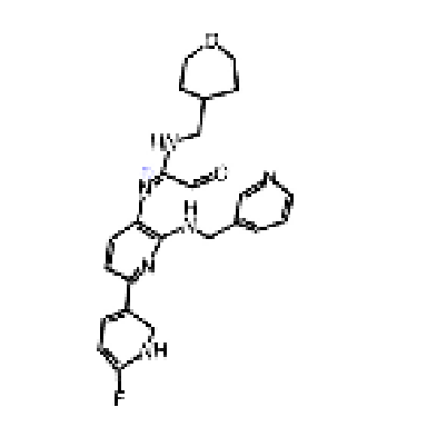 O=C/C(=N\c1ccc(C2=CC=C(F)NC2)nc1NCc1cccnc1)NCC1CCOCC1